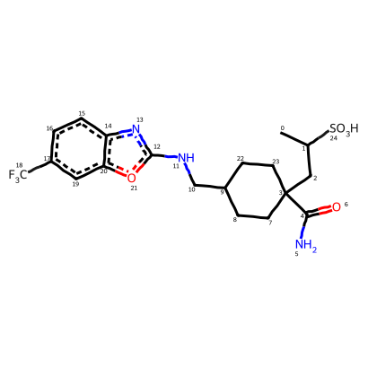 CC(CC1(C(N)=O)CCC(CNc2nc3ccc(C(F)(F)F)cc3o2)CC1)S(=O)(=O)O